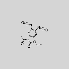 CCOC(=O)CC(C)=O.O=C=Nc1ccccc1N=C=O